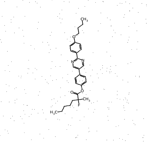 CCCCCC(C)(F)C(=O)Oc1ccc(-c2cnc(-c3ccc(OCCCC)cc3)nc2)cc1